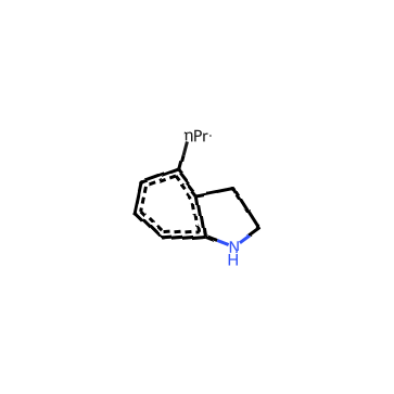 CC[CH]c1cccc2c1CCN2